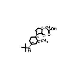 CC(C)(C)N[C@@H]1CC[C@H](N2CC[C@H](NC(=O)O)C2=O)[C@H](N)C1